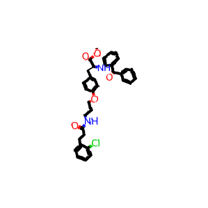 COC(=O)[C@H](Cc1ccc(OCCCNC(=O)CCc2ccccc2Cl)cc1)Nc1ccccc1C(=O)c1ccccc1